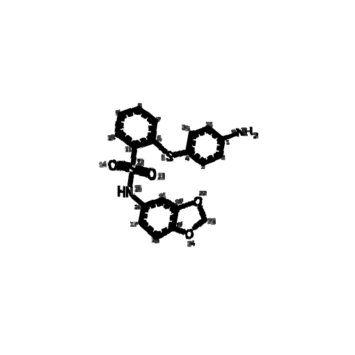 Nc1ccc(Sc2ccccc2S(=O)(=O)Nc2ccc3c(c2)OCO3)cc1